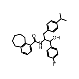 CC(C)c1ccc(CC(NC(=O)c2cccc3c2CCCCC3)C(O)c2ccc(F)cc2)cc1